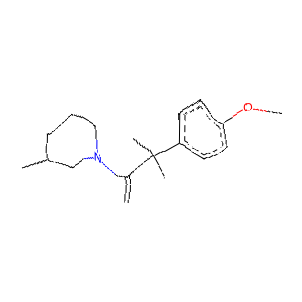 C=C(N1CCCC(C)C1)C(C)(C)c1ccc(OC)cc1